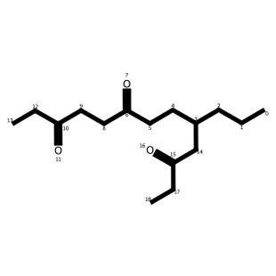 CCCC(CCC(=O)CCC(=O)CC)CC(=O)CC